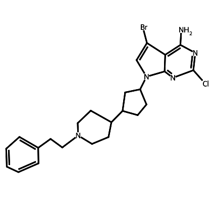 Nc1nc(Cl)nc2c1c(Br)cn2C1CCC(C2CCN(CCc3ccccc3)CC2)C1